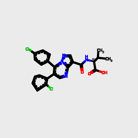 CC(C)[C@H](NC(=O)c1cnn2c(-c3ccc(Cl)cc3)c(-c3ccccc3Cl)cnc12)C(=O)O